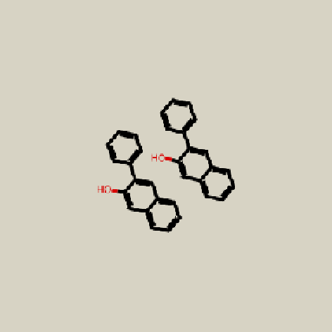 Oc1[c]c2ccccc2cc1-c1ccccc1.Oc1[c]c2ccccc2cc1-c1ccccc1